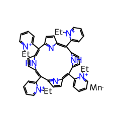 CC[n+]1ccccc1-c1c2nc(c(-c3cccc[n+]3CC)c3ccc([nH]3)c(-c3cccc[n+]3CC)c3nc(c(-c4cccc[n+]4CC)c4ccc1[nH]4)C=C3)C=C2.[Mn]